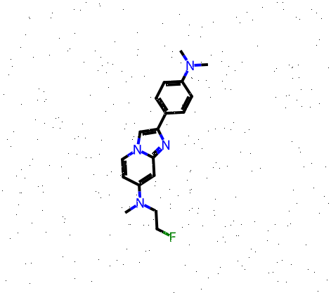 CN(C)c1ccc(-c2cn3ccc(N(C)CCF)cc3n2)cc1